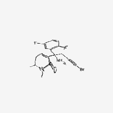 CC1CC=C(C(N)(CC#CBr)c2cc(F)ccc2F)C(=O)N1C